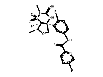 C[C@@H]1OC[C@]2(c3cc(NC(=O)c4ccc(F)cn4)ccc3F)NC(=N)N(C)S(=O)(=O)[C@H]12